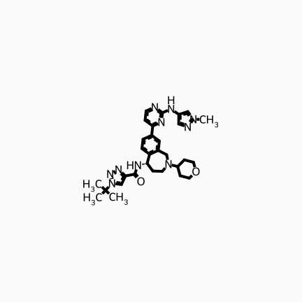 Cn1cc(Nc2nccc(-c3ccc4c(c3)CN(C3CCOCC3)CC[C@@H]4NC(=O)c3cn(C(C)(C)C)nn3)n2)cn1